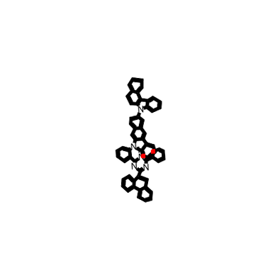 C1=CCC(C2N=C(c3cc4ccccc4c4ccccc34)N=C(c3ccccc3-n3c4ccccc4c4cc5cc(-n6c7ccccc7c7c8ccccc8ccc76)ccc5cc43)N2)C=C1